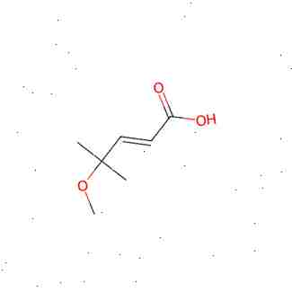 COC(C)(C)C=CC(=O)O